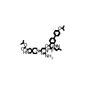 Cc1ccn(-c2cc(-c3ccc(OC(C)C)cc3)ccc2[C@@H](Oc2cc(N3CCC4(CC3)CN[C@H](C(=O)OC(C)C)C4)nc(N)n2)C(F)(F)F)n1